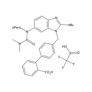 CCCCCN(C(=O)N(C)C)c1ccc2nc(CCCC)n(Cc3ccc(-c4ccccc4C(=O)O)cc3)c2c1.O=C(O)C(F)(F)F